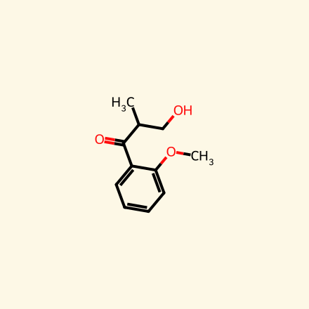 COc1ccccc1C(=O)C(C)CO